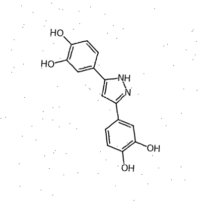 Oc1ccc(-c2cc(-c3ccc(O)c(O)c3)[nH]n2)cc1O